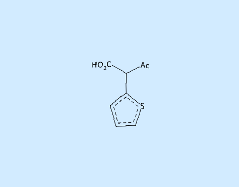 CC(=O)C(C(=O)O)c1cccs1